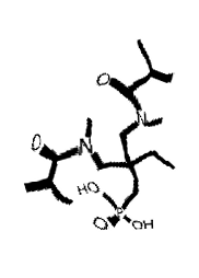 C=C(C)C(=O)N(C)CC(CC)(CN(C)C(=O)C(=C)C)CP(=O)(O)O